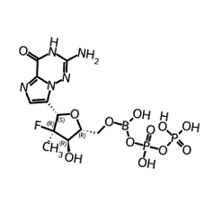 C[C@@]1(F)[C@H](O)[C@@H](COB(O)OP(=O)(O)OP(=O)(O)O)O[C@H]1c1cnc2c(=O)[nH]c(N)nn12